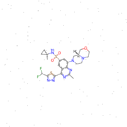 Cc1nc(-c2nnc(C(F)F)s2)c2cc(S(=O)(=O)NC3(C)CC3)cc(N3CCN4CCOC[C@H]4C3)c2n1